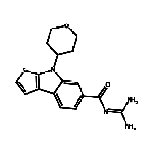 NC(N)=NC(=O)c1ccc2c3ccsc3n(C3CCOCC3)c2c1